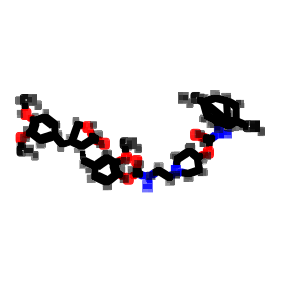 COc1ccc(C[C@H]2COC(=O)[C@@H]2Cc2ccc(OC(=O)NCCN3CCC(OC(=O)NC45CC6CC(C)(CC(C)(C6)C4)C5)CC3)c(OC)c2)cc1OC